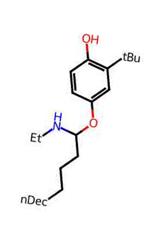 CCCCCCCCCCCCCC(NCC)Oc1ccc(O)c(C(C)(C)C)c1